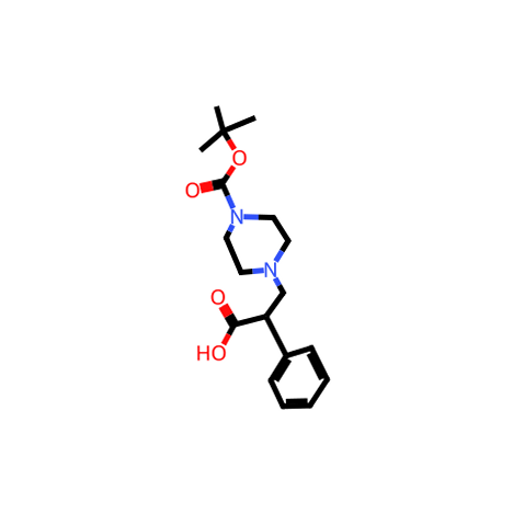 CC(C)(C)OC(=O)N1CCN(CC(C(=O)O)c2ccccc2)CC1